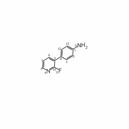 Nc1ccc(-c2cccnc2F)cc1